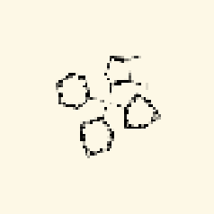 CCC1=CCC([Si](c2ccccc2)(c2ccccc2)c2ccccc2)=[C]1[Ti+3].[Cl-].[Cl-].[Cl-]